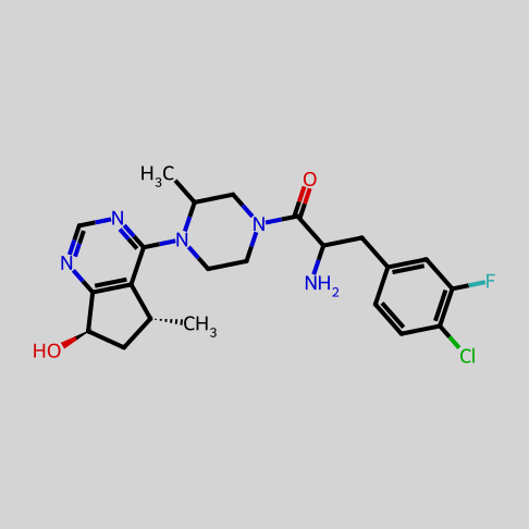 CC1CN(C(=O)C(N)Cc2ccc(Cl)c(F)c2)CCN1c1ncnc2c1[C@H](C)C[C@H]2O